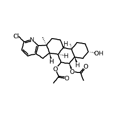 CC(=O)OC1[C@@H]2[C@H](CC[C@]3(C)c4nc(Cl)ccc4C[C@@H]23)[C@@]2(C)CC[C@H](O)C[C@@H]2[C@H]1OC(C)=O